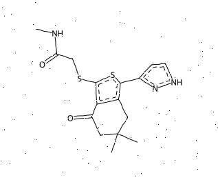 CNC(=O)CSc1sc(-c2cc[nH]n2)c2c1C(=O)CC(C)(C)C2